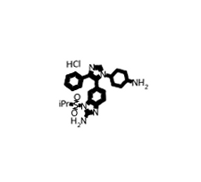 CC(C)S(=O)(=O)n1c(N)nc2ccc(-c3c(-c4ccccc4)ncn3C3CCC(N)CC3)cc21.Cl